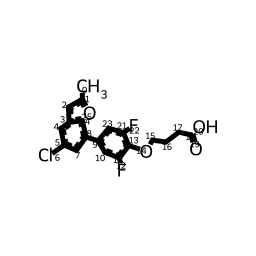 Cc1cc2cc(Cl)cc(-c3cc(F)c(OCCCC(=O)O)c(F)c3)c2o1